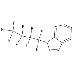 FC(F)(F)C(F)(F)C(F)(F)C(F)(F)[C]1C=Cc2ccccc21